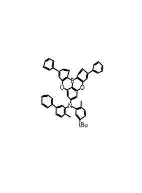 Cc1ccc(-c2ccccc2)cc1N(c1cc2c3c(c1)Oc1cc(-c4ccccc4)ccc1B3c1ccc(-c3ccccc3)cc1O2)c1cc(C(C)(C)C)ccc1C